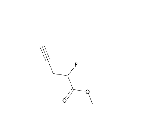 C#CCC(F)C(=O)OC